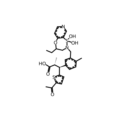 CCC1CN(Cc2cc([C@@H](c3ccc(C(C)=O)s3)[C@@H](C)C(=O)O)ccc2C)S(O)(O)c2cnccc2O1